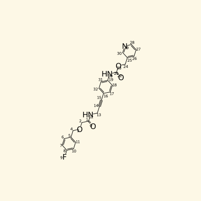 O=C(COCc1ccc(F)cc1)NCC#Cc1ccc(NC(=O)OCc2cccnc2)cc1